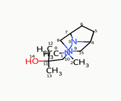 CN(C)N1C2CCC1CN(CC(C)(C)O)C2